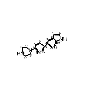 c1cc2cc(-c3ccc(N4CCNCC4)nc3)cnc2[nH]1